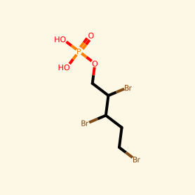 O=P(O)(O)OCC(Br)C(Br)CCBr